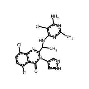 CC(Nc1nc(N)nc(N)c1Cl)c1nc2c(Cl)ccc(Cl)c2c(=O)n1-c1cn[nH]c1